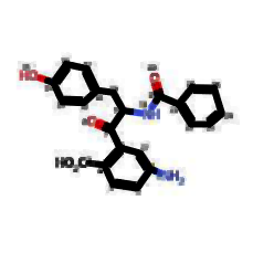 Nc1ccc(C(=O)O)c(C(=O)C(Cc2ccc(O)cc2)NC(=O)c2ccccc2)c1